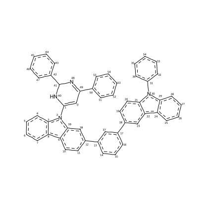 C1=C(n2c3ccccc3c3ccc(-c4cccc(-c5ccc6c(c5)c5ccccc5n6-c5ccccc5)c4)cc32)NC(c2ccccc2)N=C1c1ccccc1